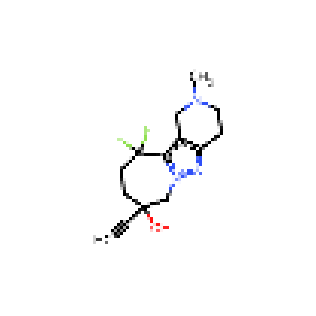 C#CC1(O)CCC(F)(F)c2c3c(nn2C1)CCN(C)C3